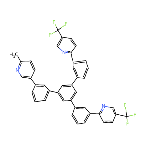 Cc1ccc(-c2cccc(-c3cc(-c4cccc(-c5ccc(C(F)(F)F)cn5)c4)cc(-c4cccc(-c5ccc(C(F)(F)F)cn5)c4)c3)c2)cn1